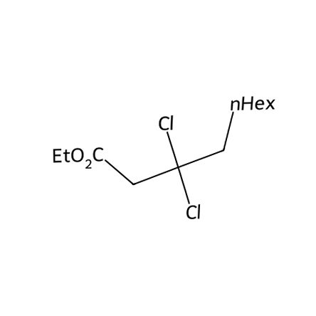 CCCCCCCC(Cl)(Cl)CC(=O)OCC